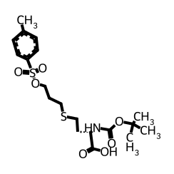 Cc1ccc(S(=O)(=O)OCCCSCC[C@H](NC(=O)OC(C)(C)C)C(=O)O)cc1